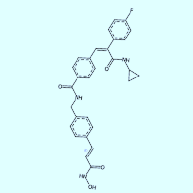 O=C(/C=C/c1ccc(CNC(=O)c2ccc(C=C(C(=O)NC3CC3)c3ccc(F)cc3)cc2)cc1)NO